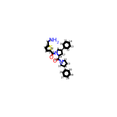 NCc1ccc(C(=O)N2C[C@@H](c3ccccc3)C[C@H]2C(=O)N2CC[C@H](c3ccccc3)C2)s1